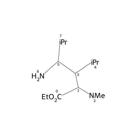 CCOC(=O)C(NC)C(C(C)C)C(N)C(C)C